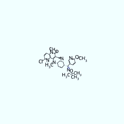 COc1ccc(/C(=N\OC(C)(C)C)[C@H]2CC[C@@H](N(C)c3c(C#N)c(=O)n(C)c4ccc(Cl)nc34)CC2)cn1